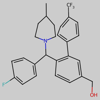 CC1CCN(C(c2ccc(F)cc2)c2ccc(CO)cc2-c2ccc(C(F)(F)F)cc2)CC1